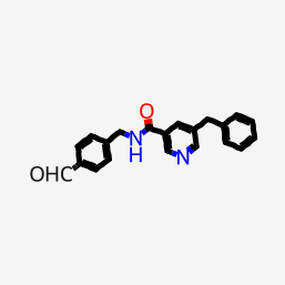 O=Cc1ccc(CNC(=O)c2cncc(Cc3ccccc3)c2)cc1